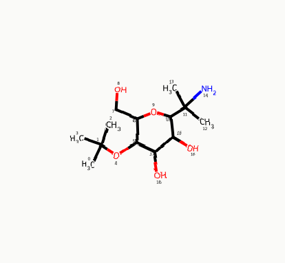 CC(C)(C)OC1C(CO)OC(C(C)(C)N)C(O)C1O